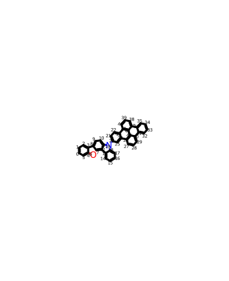 c1ccc2c(c1)oc1c2ccc2c1c1ccccc1n2-c1ccc2c(c1)c1cccc3c4ccccc4c4cccc2c4c31